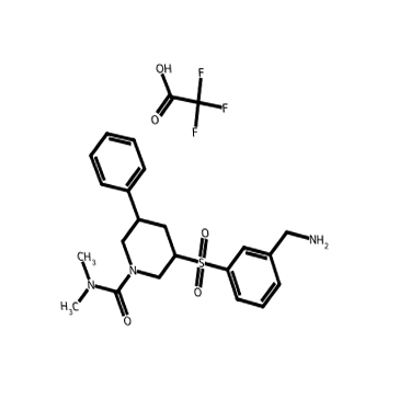 CN(C)C(=O)N1CC(c2ccccc2)CC(S(=O)(=O)c2cccc(CN)c2)C1.O=C(O)C(F)(F)F